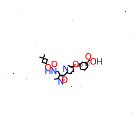 Cc1noc(-c2ccc(O[C@H]3CCC[C@H](C(=O)O)C3)cn2)c1CNC(=O)OC1CC(C)(C)C1